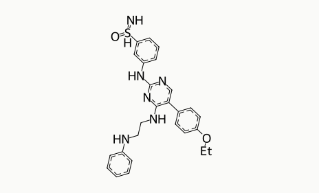 CCOc1ccc(-c2cnc(Nc3cccc([SH](=N)=O)c3)nc2NCCNc2ccccc2)cc1